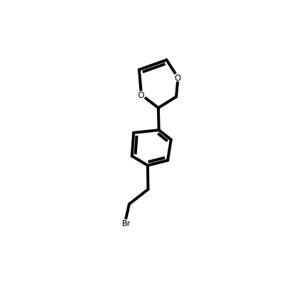 BrCCc1ccc(C2COC=CO2)cc1